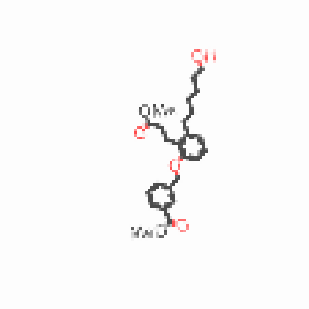 COC(=O)CCc1c(CCCCCCO)cccc1OCc1cccc(C(=O)OC)c1